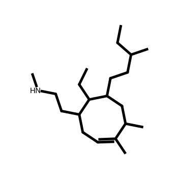 CCC(C)CCC1CC(C)/C(C)=C\CC(CCNC)C1CC